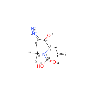 C=CC[C@@H](C(=O)C=[N+]=[N-])N(C(=O)O)C(C)(C)C